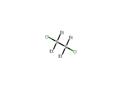 CC[Si](Cl)(CC)[Si](Cl)(CC)CC